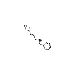 CCC/C=C/CNCc1ccccc1